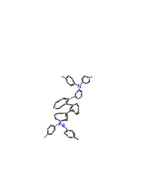 Cc1ccc(N(c2ccc(C)cc2)c2cccc(-c3ccccc3-c3ccccc3-c3cccc(N(c4ccc(C)cc4)c4ccc(C)cc4)c3)c2)cc1